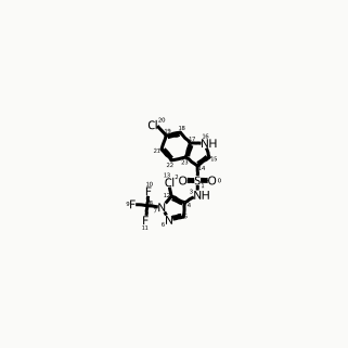 O=S(=O)(Nc1cnn(C(F)(F)F)c1Cl)c1c[nH]c2cc(Cl)ccc12